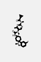 Cc1nc(N(C)C(=O)C2CC2)ncc1N1C[C@]2(CC[C@](c3cccc(F)c3)(N(C)C)CC2)NC1=O